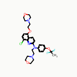 CC(F)(F)Oc1ccc(N(CCN2CCOCC2)c2ccc3c(OCCN4CCOCC4)ccc(Cl)c3n2)cc1